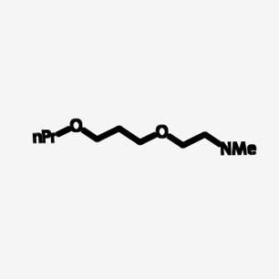 CCCOCCCOCCNC